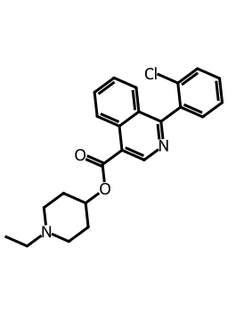 CCN1CCC(OC(=O)c2cnc(-c3ccccc3Cl)c3ccccc23)CC1